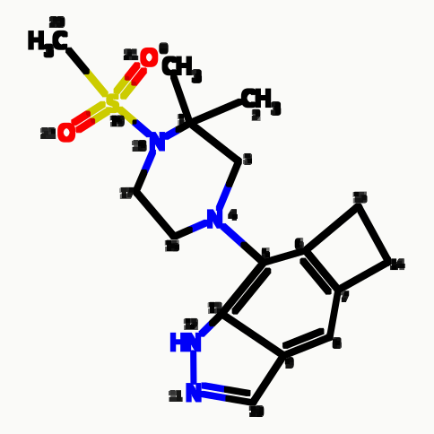 CC1(C)CN(c2c3c(cc4cn[nH]c24)CC3)CCN1S(C)(=O)=O